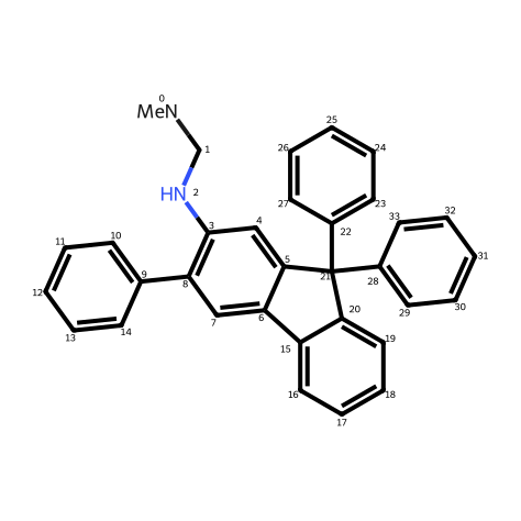 CNCNc1cc2c(cc1-c1ccccc1)-c1ccccc1C2(c1ccccc1)c1ccccc1